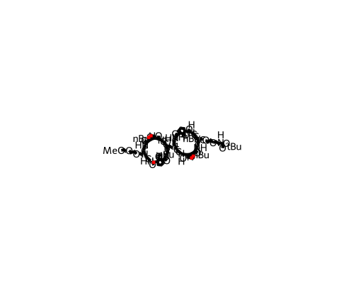 CCCCOC1C2=CCC[C@H]1C(=O)NCCN(CCOCCOCCOC)CCNC(=O)C1CCC=C(C(=O)NCCN(CCN3CCNC(=O)C4=CCCC(C(=O)NCCN(CCOCCOCCNC(=O)OC(C)(C)C)CCNC(=O)C5CCC=C(C(=O)NCC3)[C@@H]5OCCCC)[C@@H]4OCCCC)CCNC2=O)[C@H]1OCCCC